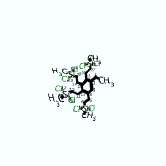 CCc1cc(CC[Si](C)(Cl)Cl)c(CC[Si](C)(Cl)Cl)c(CC[Si](C)(Cl)Cl)c1CC[Si](C)(Cl)Cl